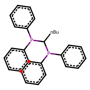 CCCCC(P(c1ccccc1)c1ccccc1)P(c1ccccc1)c1ccccc1